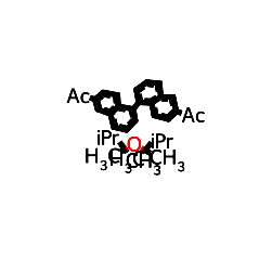 CC(=O)c1ccc2c(-c3cccc4cc(C(C)=O)ccc34)cccc2c1.CC(C)C(C)(C)OC(C)(C)C(C)C